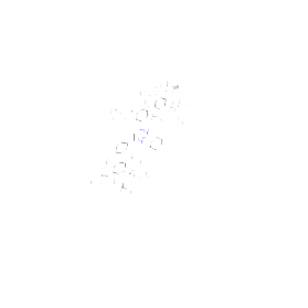 CC(C)(C)c1cc(-c2cc(C(C)(C)C)cc(C(C)(C)C)c2)cc(-c2cc(-c3cccc(-c4cc(C(C)(C)C)cc(C(C)(C)C)c4)c3)nc(-c3ccccc3)n2)c1